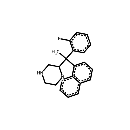 CC(c1ccccc1F)(c1cccc2cccnc12)C1CNCC[N]1